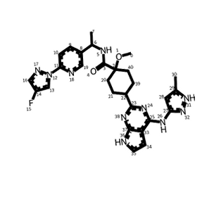 COC1(C(=O)NC(C)c2ccc(-n3cc(F)cn3)nc2)CCC(c2nc(Nc3cc(C)[nH]n3)c3cc[nH]c3n2)CC1